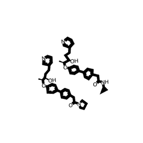 C[C@H](Oc1ccc(-c2ccc(CC(=O)N3CCCC3)cc2)cc1)[C@H](O)CCc1cccnc1.C[C@H](Oc1ccc(-c2ccc(CC(=O)NC3CC3)cc2)cc1)[C@H](O)CCc1cccnc1